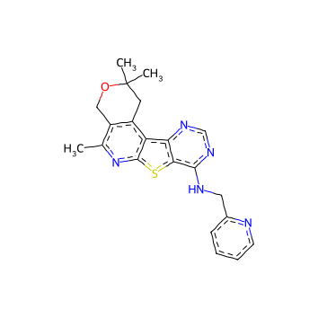 Cc1nc2sc3c(NCc4ccccn4)ncnc3c2c2c1COC(C)(C)C2